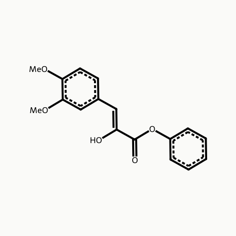 COc1ccc(C=C(O)C(=O)Oc2ccccc2)cc1OC